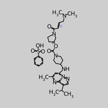 Cc1cc(NC2CCN(C(=O)O[C@@H]3CCN(C(=O)/C=C/CN(C)C)C3)CC2)n2ncc(C(C)C)c2n1.O=S(=O)(O)c1ccccc1